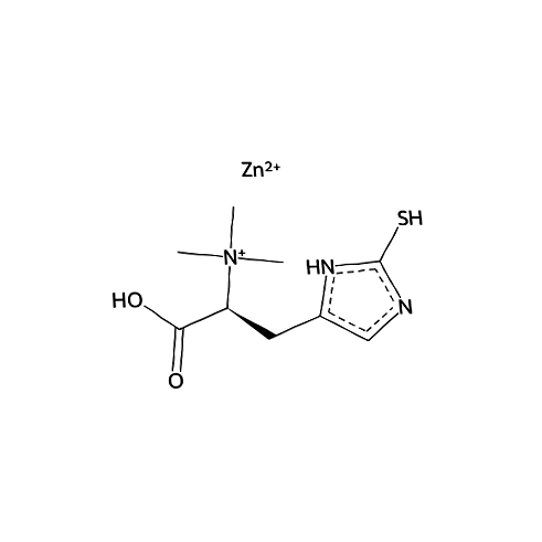 C[N+](C)(C)[C@@H](Cc1cnc(S)[nH]1)C(=O)O.[Zn+2]